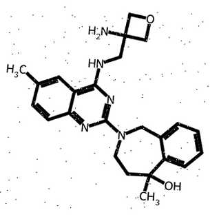 Cc1ccc2nc(N3CCC(C)(O)c4ccccc4C3)nc(NCC3(N)COC3)c2c1